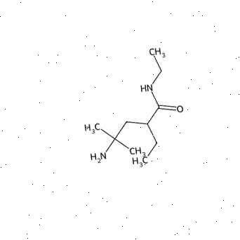 CCNC(=O)C(CC)CC(C)(C)N